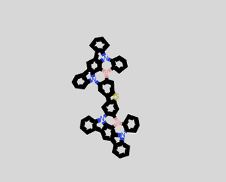 c1ccc2c(c1)B1c3cc4sc5cc6c(cc5c4cc3-n3c4ccccc4c4cc5c7ccccc7n-2c5c1c43)-n1c2ccccc2c2cc3c4ccccc4n4c3c(c21)B6c1ccccc1-4